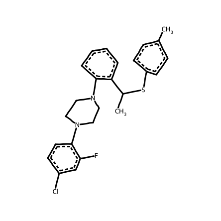 Cc1ccc(SC(C)c2ccccc2N2CCN(c3ccc(Cl)cc3F)CC2)cc1